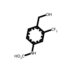 O=C(O)Nc1ccc(CO)c(C(F)(F)F)c1